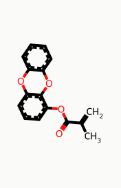 C=C(C)C(=O)Oc1cccc2c1Oc1ccccc1O2